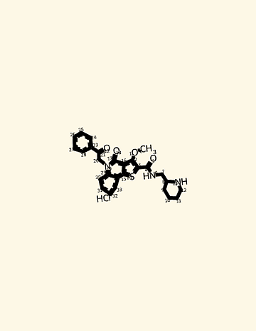 COc1c(C(=O)NCC2CCCCN2)sc2c1c(=O)n(CC(=O)c1ccccc1)c1ccccc21.Cl